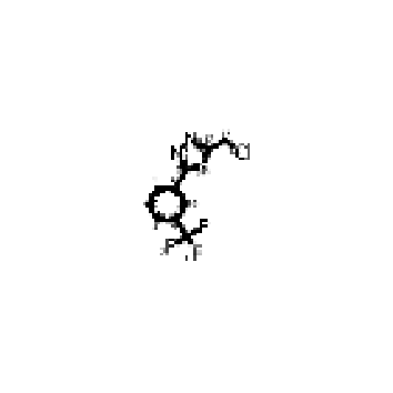 FC(F)(F)c1cccc(-c2nnc(CCl)s2)c1